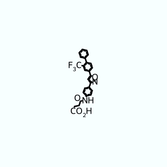 O=C(O)CCC(=O)Nc1ccc(-c2cc(-c3ccc(-c4ccccc4)c(C(F)(F)F)c3)on2)cc1